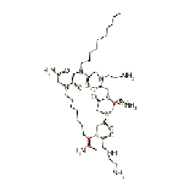 CCCCCCCCCCN(CC(N)=O)C(=O)CN(CCCCCCCCCC)C(=O)CN(CCN)C(=O)CN(CCN)C(=O)CN(CCN)C(=O)CN(CCN)C(=O)CNCCN